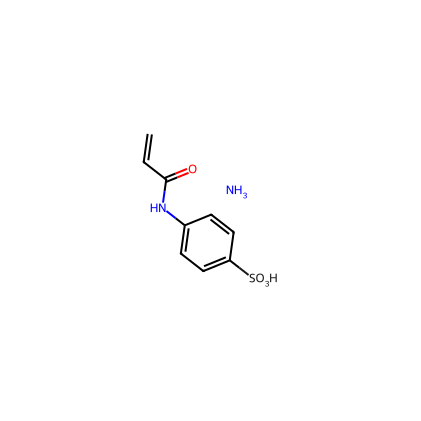 C=CC(=O)Nc1ccc(S(=O)(=O)O)cc1.N